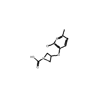 Cc1ccc(OC2CN(C(=O)O)C2)c(Cl)n1